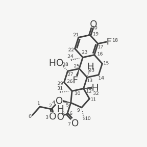 CCC(=O)O[C@]1(C(=O)O)[C@@H](C)C[C@H]2[C@@H]3CCC4=C(F)C(=O)C=C[C@]4(C)[C@@]3(F)[C@@H](O)C[C@@]21C